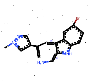 C=C(/C=c1\c(=C/N)[nH]c2ccc(Br)cc12)c1cnn(C)c1